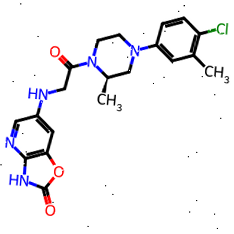 Cc1cc(N2CCN(C(=O)CNc3cnc4[nH]c(=O)oc4c3)[C@H](C)C2)ccc1Cl